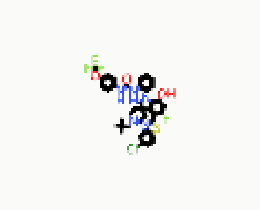 CC(C)(C)CN1CCC2(CC1)CN(c1ccccc1NC(=O)Nc1ccc(OC(F)(F)F)cc1)c1c(O)cc(F)c(-c3nc4cc(Cl)ccc4s3)c12